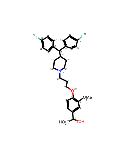 COc1cc(C(O)C(=O)O)ccc1OCCCN1CCC(C(c2ccc(F)cc2)c2ccc(F)cc2)CC1